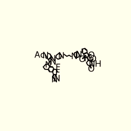 CC(=O)N1CCc2c(c(N3CCCc4cc(-c5cnn(C)c5)c(C(F)F)cc43)nn2C2CCN(CCCCN3CCN(c4cccc5c4C(=O)N(C4CCC(=O)NC4=O)C5=O)CC3)CC2)C1